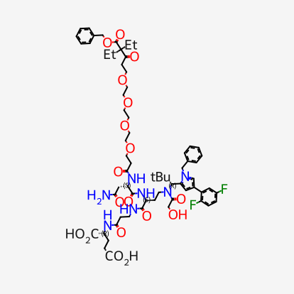 CCC(CC)(C(=O)CCOCCOCCOCCOCCC(=O)N[C@@H](CC(N)=O)C(=O)N[C@@H](CCN(C(=O)CO)[C@@H](c1cc(-c2cc(F)ccc2F)cn1Cc1ccccc1)C(C)(C)C)C(=O)NCCC(=O)N[C@H](CCC(=O)O)C(=O)O)C(=O)OCc1ccccc1